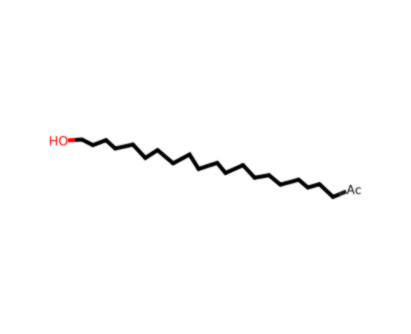 CC(=O)CCCCCCCCCCCCCCCCCCCCO